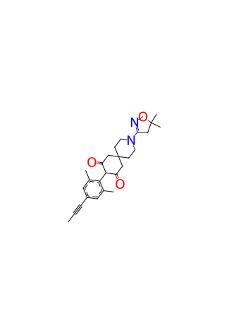 CC#Cc1cc(C)c(C2C(=O)CC3(CCN(C4=NOC(C)(C)C4)CC3)CC2=O)c(C)c1